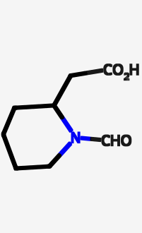 O=CN1CCCCC1CC(=O)O